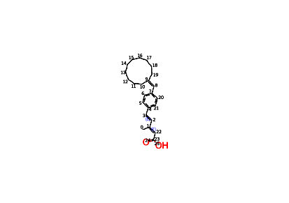 CC(/C=C/c1ccc(C=C2CCCCCCCCCC2)cc1)=C\C(=O)O